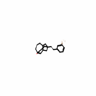 OC12CCCC3CC(CCc4cccc(Br)c4)(CC3C1)C2